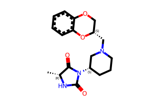 C[C@H]1NC(=O)N([C@H]2CCCN(C[C@H]3COc4ccccc4O3)C2)C1=O